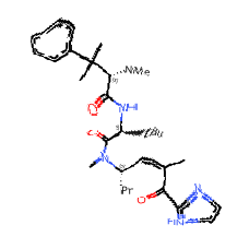 CN[C@H](C(=O)N[C@H](C(=O)N(C)[C@H](C=C(C)C(=O)c1ncc[nH]1)C(C)C)C(C)(C)C)C(C)(C)c1ccccc1